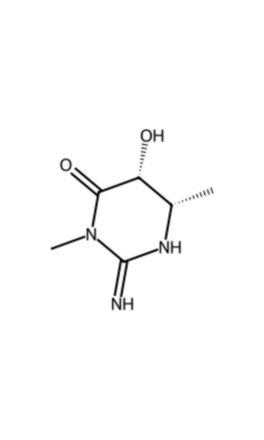 C[C@@H]1NC(=N)N(C)C(=O)[C@@H]1O